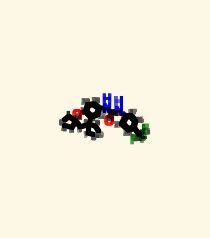 CCC1(CC)CC(CC)(CC)c2cc(NC(=O)Nc3ccc(C(F)(F)F)cc3)ccc2O1